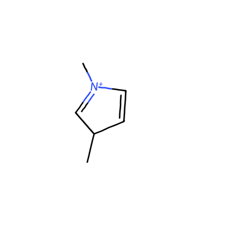 CC1C=C[N+](C)=C1